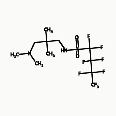 CN(C)CC(C)(C)CNS(=O)(=O)C(F)(F)C(F)(F)C(F)(F)C(F)(F)F